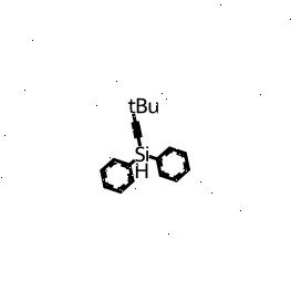 CC(C)(C)C#C[SiH](c1ccccc1)c1ccccc1